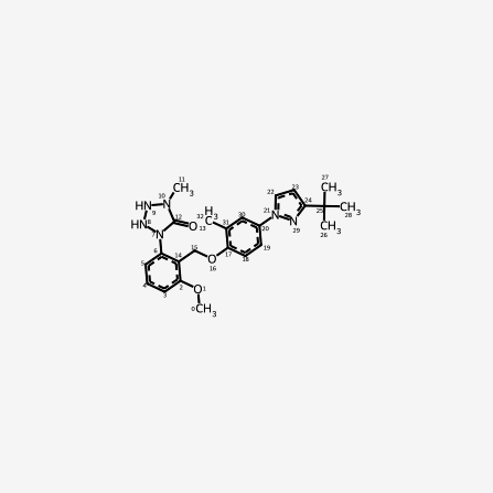 COc1cccc(N2NNN(C)C2=O)c1COc1ccc(-n2ccc(C(C)(C)C)n2)cc1C